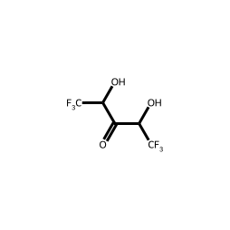 O=C(C(O)C(F)(F)F)C(O)C(F)(F)F